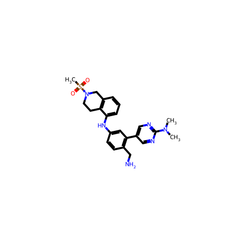 CN(C)c1ncc(-c2cc(Nc3cccc4c3CCN(S(C)(=O)=O)C4)ccc2CN)cn1